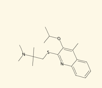 Cc1c(OC(C)C)c(SCC(C)(C)N(C)C)nc2ccccc12